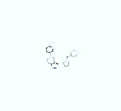 COc1ncc(N2CCc3ncnc(O[C@H]4CCCN4C(=O)C4CCN(C(C)=O)CC4)c3C2)cc1C